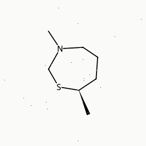 C[C@@H]1CCCN(C)CS1